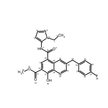 CCn1nccc1NC(=O)c1cc(C(=O)OC)c(O)c2ncc(Cc3ccc(F)cc3)cc12